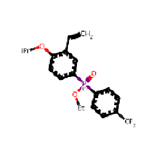 C=Cc1cc([P@@](=O)(OCC)c2ccc(C(F)(F)F)cc2)ccc1OC(C)C